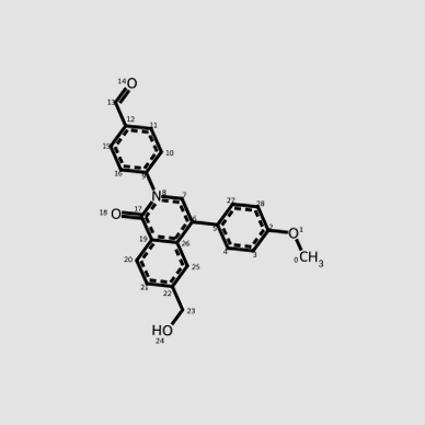 COc1ccc(-c2cn(-c3ccc(C=O)cc3)c(=O)c3ccc(CO)cc23)cc1